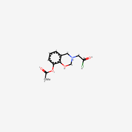 COC(=O)Oc1cccc2c1OCN(CC(=O)Cl)C2